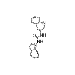 O=C(Nc1cnc2ccccc2c1)Nn1ccc2ccccc21